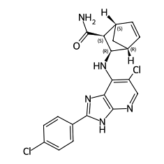 NC(=O)[C@@H]1[C@H](Nc2c(Cl)cnc3[nH]c(-c4ccc(Cl)cc4)nc23)[C@H]2C=C[C@@H]1C2